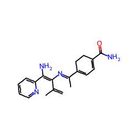 C=C(C)C(/N=C(\C)C1=CC=C(C(N)=O)CC1)=C(/N)c1ccccn1